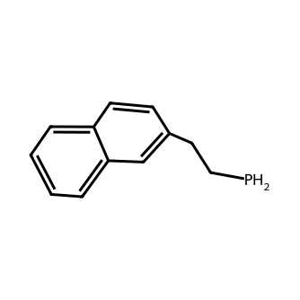 PCCc1ccc2ccccc2c1